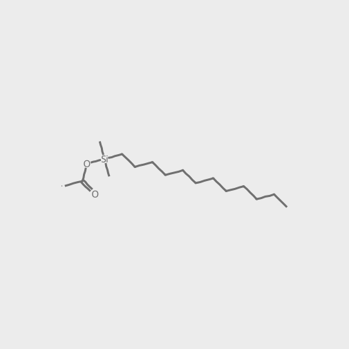 [CH2]C(=O)O[Si](C)(C)CCCCCCCCCCCC